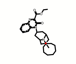 CCOC(=O)c1nc2ccccc2n(C2CC3CN(C)CC(C2)N3C2CCCCCCC2)c1=O